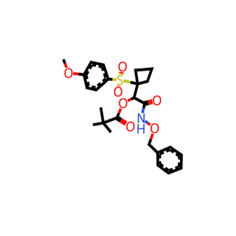 COc1ccc(S(=O)(=O)C2(C(OC(=O)C(C)(C)C)C(=O)NOCc3ccccc3)CCC2)cc1